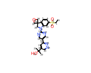 CCS(=O)(=O)c1ccc2c(c1)N(c1ncc(-c3cc(C(C)(C)O)cnn3)cn1)CC21COC1